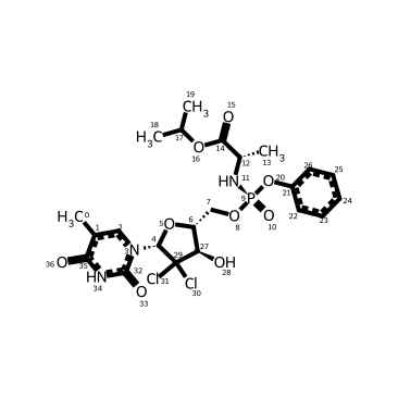 Cc1cn([C@@H]2O[C@H](CO[P@](=O)(N[C@@H](C)C(=O)OC(C)C)Oc3ccccc3)[C@@H](O)C2(Cl)Cl)c(=O)[nH]c1=O